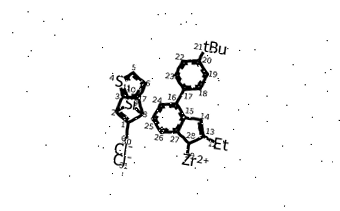 CC1=C2c3sccc3C1[Si]2(C)C.CCC1=Cc2c(-c3ccc(C(C)(C)C)cc3)cccc2[CH]1[Zr+2].[Cl-].[Cl-]